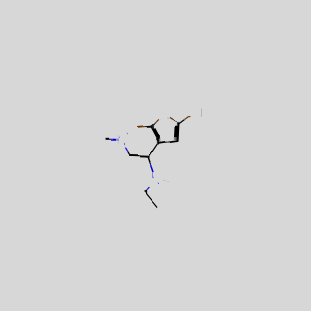 CCNC1CN(C)Sc2sc(S)cc21